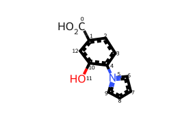 O=C(O)c1ccc(-n2cccc2)c(O)c1